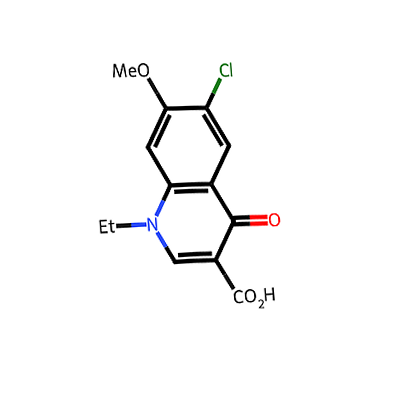 CCn1cc(C(=O)O)c(=O)c2cc(Cl)c(OC)cc21